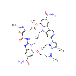 CCc1nc(C)oc1C(=O)Nc1nc2cc(C(N)=O)cc(OCCCNC)c2n1C/C=C/Cn1c2cc(-c3cc(C)nn3CC)ncc2c2cc(C(N)=O)cc(OC)c21